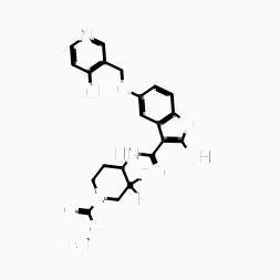 Cc1oc2ccc(OCc3cnccc3Cl)cc2c1C(=O)NC1CCN(C(=O)OC(C)(C)C)CC1(F)F